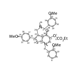 CCOC(=O)Oc1cn(Cc2ccccc2OC)c2sc(-c3ccc(OC)cc3)c(CN(C)Cc3cccc(OC)c3)c2c1=O